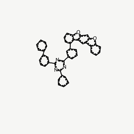 c1ccc(-c2cccc(-c3nc(-c4ccccc4)nc(-c4cccc(-c5cccc6oc7cc8oc9ccccc9c8cc7c56)c4)n3)c2)cc1